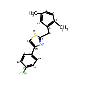 Cc1ccc(C)c(Cc2nc(-c3ccc(Cl)cc3)cs2)c1